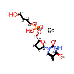 Cc1cn([C@H]2CC[C@H](COP(=O)(O)OCCCCO)O2)c(=O)[nH]c1=O.[Co]